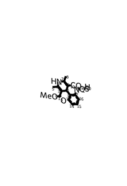 COC(=O)C1=C(C)NC(C)=C(C(=O)O)C1c1ccccc1N=C=S